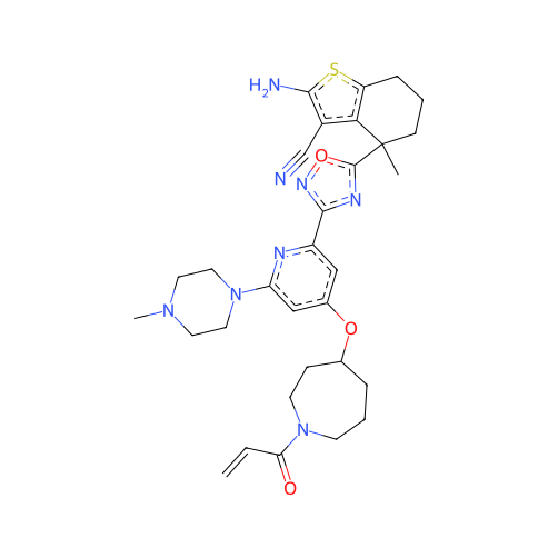 C=CC(=O)N1CCCC(Oc2cc(-c3noc(C4(C)CCCc5sc(N)c(C#N)c54)n3)nc(N3CCN(C)CC3)c2)CC1